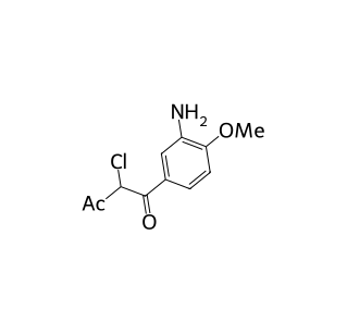 COc1ccc(C(=O)C(Cl)C(C)=O)cc1N